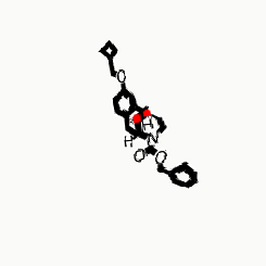 O=C(OCc1ccccc1)N1CC[C@]23CCCC[C@H]2[C@H]1Cc1ccc(OCC2CCC2)cc13